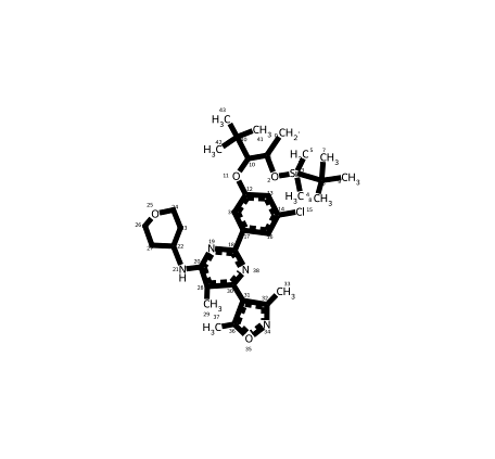 [CH2]C(O[Si](C)(C)C(C)(C)C)C(Oc1cc(Cl)cc(-c2nc(NC3CCOCC3)c(C)c(-c3c(C)noc3C)n2)c1)C(C)(C)C